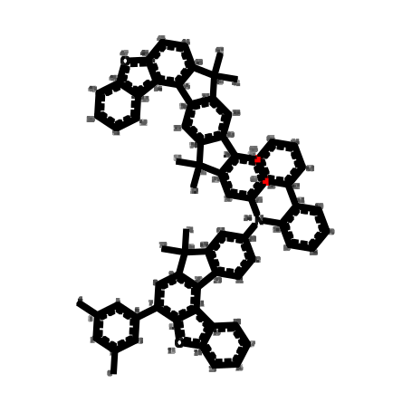 Cc1cc(C)cc(-c2cc3c(c4c2oc2ccccc24)-c2ccc(N(c4ccc5c(c4)C(C)(C)c4cc6c(cc4-5)C(C)(C)c4ccc5oc7ccccc7c5c4-6)c4ccccc4-c4ccccc4)cc2C3(C)C)c1